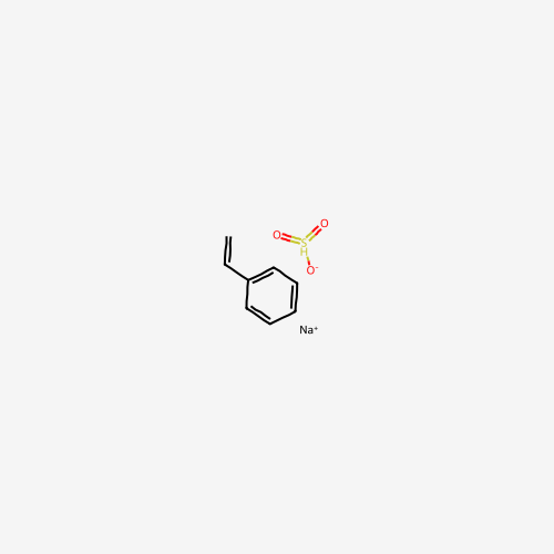 C=Cc1ccccc1.O=[SH](=O)[O-].[Na+]